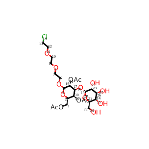 CC(=O)OC[C@H]1O[C@@H](OCCOCCOCCCl)[C@H](OC(C)=O)[C@@H](O[C@H]2O[C@H](CO)[C@H](O)[C@H](O)[C@H]2O)[C@H]1OC(C)=O